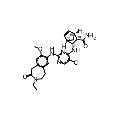 CCN1CCc2cc(Nc3ncc(Cl)c(N[C@@H]4[C@H](C(N)=O)[C@H]5C=C[C@@H]4C5)n3)c(OC)cc2CC1=O